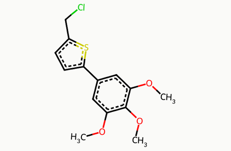 COc1cc(-c2ccc(CCl)s2)cc(OC)c1OC